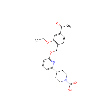 CCOc1cc(C(C)=O)ccc1COc1cccc(C2CCN(C(=O)O)CC2)n1